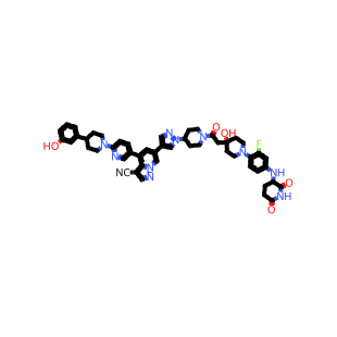 N#Cc1cnn2cc(-c3cnn(C4CCN(C(=O)CC5(O)CCN(c6ccc(NC7CCC(=O)NC7=O)cc6F)CC5)CC4)c3)cc(-c3ccc(N4CCC(c5cccc(O)c5)CC4)nc3)c12